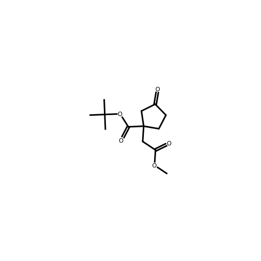 COC(=O)CC1(C(=O)OC(C)(C)C)CCC(=O)C1